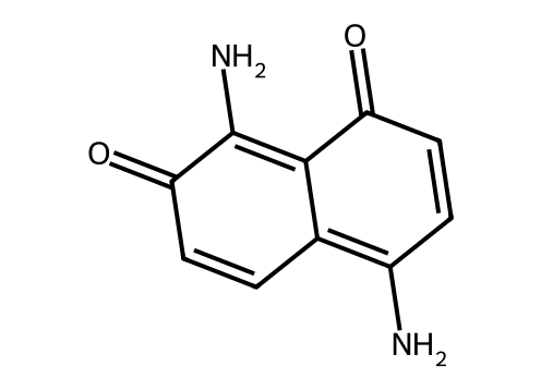 NC1=C2C=CC(=O)C(N)=C2C(=O)C=C1